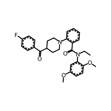 CCN(C(=O)c1ccccc1N1CCC(C(=O)c2ccc(F)cc2)CC1)c1cc(OC)ccc1OC